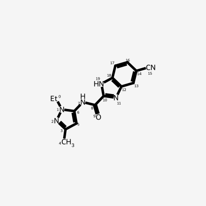 CCn1nc(C)cc1NC(=O)c1nc2cc(C#N)ccc2[nH]1